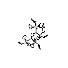 C=CS(=O)(=O)C(OC(S(=O)(=O)C=C)S(=O)(=O)C=C)S(=O)(=O)C=C